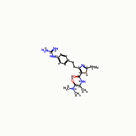 CC(=O)Nc1nc(CCc2ccc(NC(=N)N)cc2)c(C(=O)N[C@@H](C)C(=O)N(C)C)s1